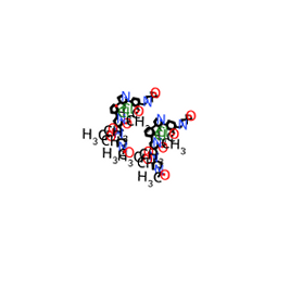 COc1cc(-c2nccc(-c3cccc(-c4ccc(CN(C(=O)OC(C)(C)C)C5CCN(C(C)=O)CC5)c(OC)n4)c3Cl)c2Cl)ccc1CN1CC2(COC2)C1.COc1cc(-c2nccc(-c3cccc(-c4ccc(CN(C(=O)OC(C)(C)C)C5CCN(C(C)=O)CC5)c(OC)n4)c3Cl)c2Cl)ccc1CN1CC2(COC2)C1